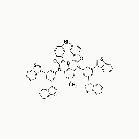 Cc1cc2c3c(c1)N(c1cc(-c4csc5ccccc45)cc(-c4csc5ccccc45)c1)c1oc4ccc(C(C)(C)C)cc4c1B3c1c(oc3ccc(C(C)(C)C)cc13)N2c1cc(-c2csc3ccccc23)cc(-c2csc3ccccc23)c1